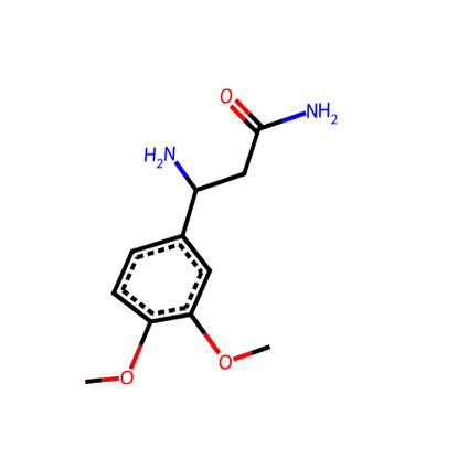 COc1ccc(C(N)CC(N)=O)cc1OC